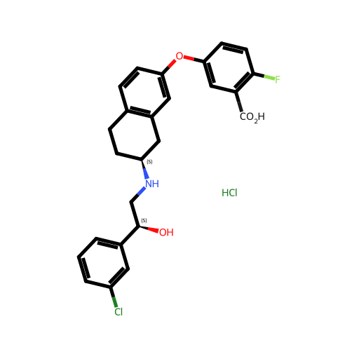 Cl.O=C(O)c1cc(Oc2ccc3c(c2)C[C@@H](NC[C@@H](O)c2cccc(Cl)c2)CC3)ccc1F